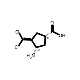 N[C@H]1C[C@@H](C(=O)O)CC1=C(Cl)Cl